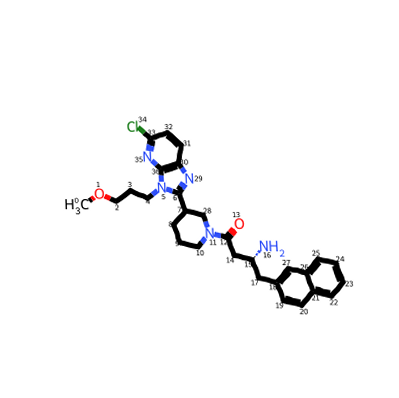 COCCCn1c(C2CCCN(C(=O)C[C@H](N)Cc3ccc4ccccc4c3)C2)nc2ccc(Cl)nc21